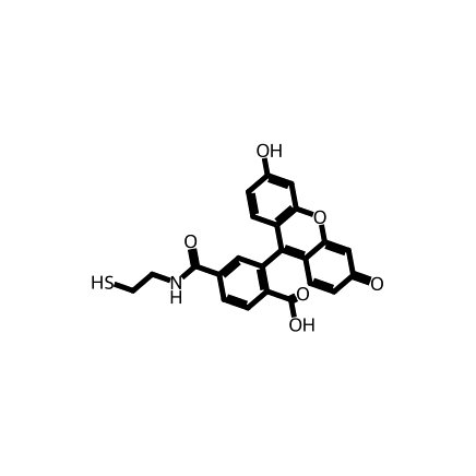 O=C(NCCS)c1ccc(C(=O)O)c(-c2c3ccc(=O)cc-3oc3cc(O)ccc23)c1